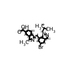 Cc1nn(Cc2cc(Br)cc3cnn(CC(C)C)c23)c2ccc(C(=O)O)cc12